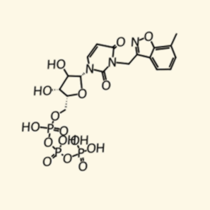 Cc1cccc2c(Cn3c(=O)ccn([C@@H]4O[C@H](COP(=O)(O)OP(=O)(O)OP(=O)(O)O)[C@H](O)C4O)c3=O)noc12